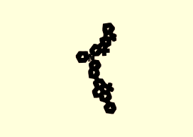 CC1(C)c2ccccc2-c2cc3c(cc21)C(C)(C)c1cc(N(c2ccccc2)c2ccc4cc(-c5cc6c7c(ccc8cc(-c9ccccc9)cc(c87)C6(C)C)c5)ccc4c2)ccc1-3